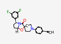 C#Cc1ccc(N2CCC3(CC2)O[C@@H]2CC[C@@H](c4cc(F)cc(F)c4)N2C3=O)cc1